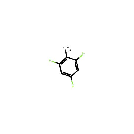 Fc1[c]c(F)c(C(F)(F)F)c(F)c1